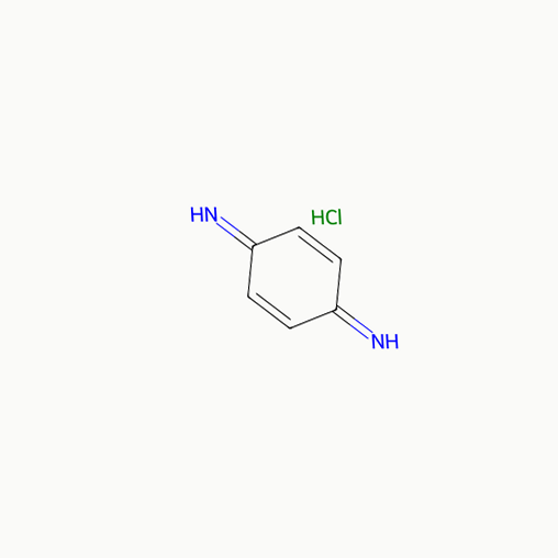 Cl.N=C1C=CC(=N)C=C1